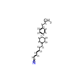 CCCc1ccc([C@H]2CC[C@H](CCC=CC=CC#N)CC2)cc1